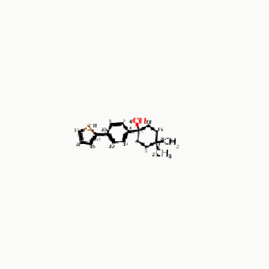 CC1(C)CCC(O)(c2ccc(-c3cccs3)cc2)CC1